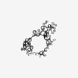 C=C1CC2CC[C@]34CCC(O3)[C@H]3C[C@@H](O4)[C@H]4OC(CC[C@@H]4O3)CC(=O)OC3[C@@H](C)C4O[C@H](CI)[C@H](O[Si](CC)(CC)CC)C[C@@H]4O[C@H]3CC3OC(CCC1O2)C[C@@H](C)C3=C